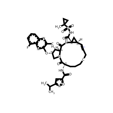 Cc1nc2cccc(F)c2nc1O[C@@H]1C[C@H]2C(=O)N[C@]3(C(=O)NS(=O)(=O)C4(C)CC4)C[C@H]3/C=C\CCCCC[C@H](NC(=O)c3cc(C(C)C)no3)C(=O)N2C1